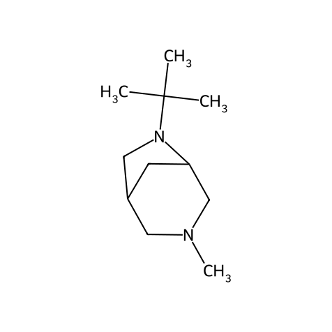 CN1CC2CC(C1)N(C(C)(C)C)C2